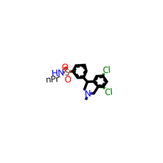 CCCNS(=O)(=O)c1cccc(C2CN(C)Cc3c(Cl)cc(Cl)cc32)c1